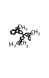 CCn1c2ccccc2c2cc(C(c3ccc(N(C)C)cc3)=c3ccc4c(c3)-c3ccccc3[N+]=4CC)ccc21.[I-]